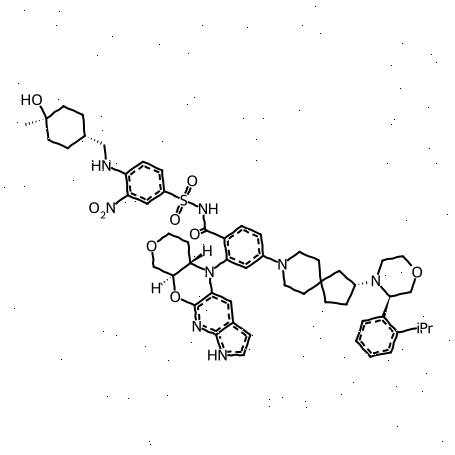 CC(C)c1ccccc1[C@@H]1COCCN1[C@@H]1CCC2(CCN(c3ccc(C(=O)NS(=O)(=O)c4ccc(NC[C@H]5CC[C@](C)(O)CC5)c([N+](=O)[O-])c4)c(N4c5cc6cc[nH]c6nc5O[C@H]5COCC[C@@H]54)c3)CC2)C1